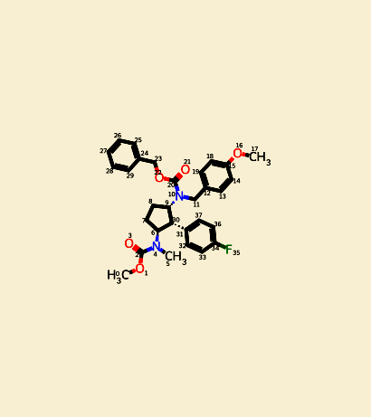 COC(=O)N(C)[C@H]1CC[C@H](N(Cc2ccc(OC)cc2)C(=O)OCc2ccccc2)[C@@H]1c1ccc(F)cc1